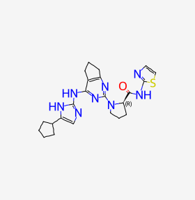 O=C(Nc1nccs1)[C@H]1CCCN1c1nc2c(c(Nc3ncc(C4CCCC4)[nH]3)n1)CCC2